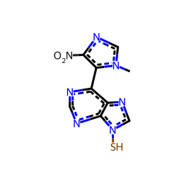 Cn1cnc([N+](=O)[O-])c1-c1ncnc2c1ncn2S